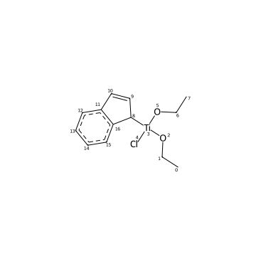 CC[O][Ti]([Cl])([O]CC)[CH]1C=Cc2ccccc21